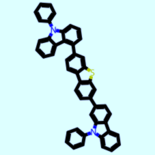 c1ccc(-n2c3ccccc3c3ccc(-c4ccc5c(c4)sc4cc(-c6cccc7c6c6ccccc6n7-c6ccccc6)ccc45)cc32)cc1